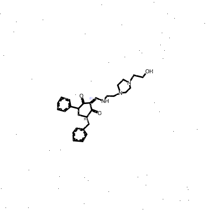 O=C1/C(=C/NCCN2CCN(CCO)CC2)C(=O)[C@@H](Cc2ccccc2)CC1c1ccccc1